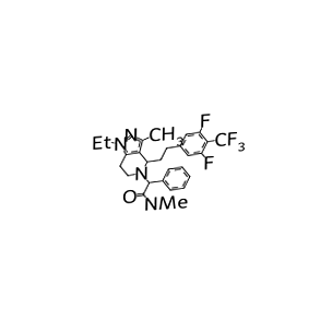 CCn1nc(C)c2c1CCN(C(C(=O)NC)c1ccccc1)C2CCc1cc(F)c(C(F)(F)F)c(F)c1